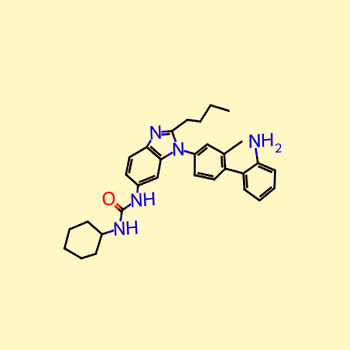 CCCCc1nc2ccc(NC(=O)NC3CCCCC3)cc2n1-c1ccc(-c2ccccc2N)c(C)c1